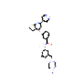 CN1CCN(Cc2cc(NC(=O)c3cccc(Oc4cc(-c5ccncc5)nc5c4CCS5)c3)cc(C(F)(F)F)c2)CC1